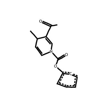 CC(=O)C1=CN(C(=O)Oc2ccccc2)C=CC1C